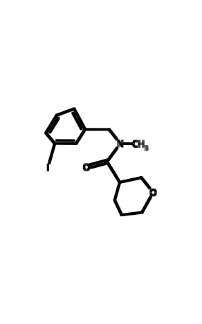 CN(Cc1cccc(I)c1)C(=O)C1CCCOC1